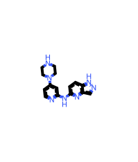 c1cc(N2CCNCC2)cc(Nc2ccc3[nH]ncc3n2)n1